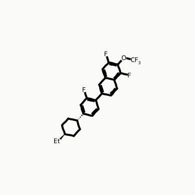 CC[C@H]1CC[C@H](c2ccc(-c3ccc4c(F)c(OC(F)(F)F)c(F)cc4c3)c(F)c2)CC1